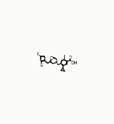 O=C(O)c1cc(C2CC2)c(CN2CCOC(Cc3ccc(F)cc3Cl)C2)cc1F